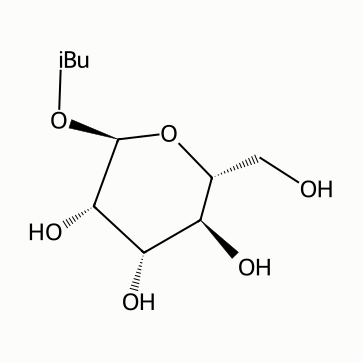 CCC(C)O[C@H]1O[C@H](CO)[C@@H](O)[C@H](O)[C@@H]1O